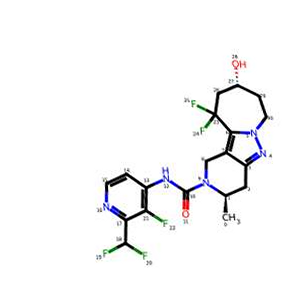 C[C@@H]1Cc2nn3c(c2CN1C(=O)Nc1ccnc(C(F)F)c1F)C(F)(F)C[C@H](O)CC3